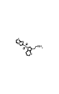 NCCc1cn(S(=O)(=O)c2cn3ccsc3n2)c2cccnc12